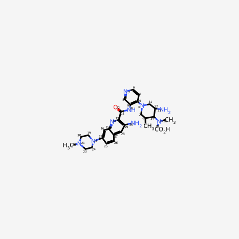 CC1CN(c2ccncc2NC(=O)c2nc3cc(N4CCN(C)CC4)ccc3cc2N)CC(N)C1N(C)C(=O)O